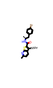 CNc1c(C(=O)N[C@@H](C)Cc2ccc(Br)cc2)sc2nc(C)ccc12